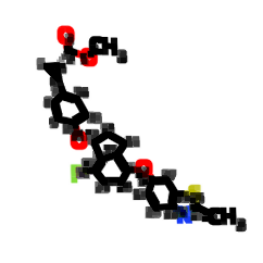 COC(=O)[C@H]1C[C@@H]1c1ccc(O[C@@H]2CCc3c(Oc4ccc5nc(C)sc5c4)ccc(F)c32)cc1